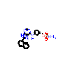 NS(=O)(=O)OC[C@H]1CC[C@H](Nc2ncnc3[nH]c(-c4cccc5ccccc45)nc23)C1